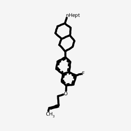 CC=CCOc1cc(F)c2cc(C3CCC4CC(CCCCCCC)CCC4C3)ccc2c1